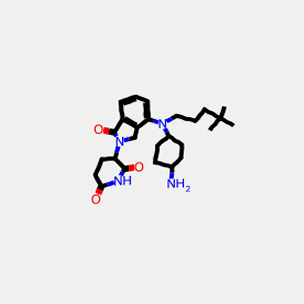 CC(C)(C)CCCN(c1cccc2c1CN(C1CCC(=O)NC1=O)C2=O)C1CCC(N)CC1